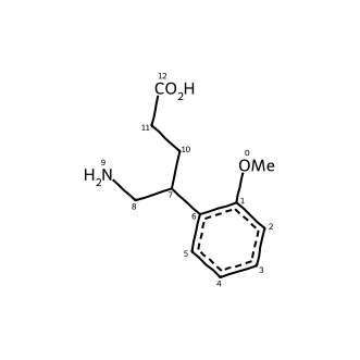 COc1ccccc1C(CN)CCC(=O)O